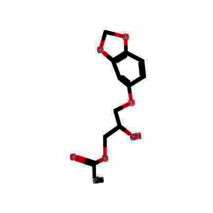 CCC(C)C(=O)OCC(O)COc1ccc2c(c1)OCO2